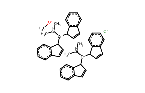 C[O-].C[SiH](C)[Zr+]([CH]1C=Cc2ccccc21)[CH]1C=Cc2ccccc21.C[SiH](C)[Zr+]([CH]1C=Cc2ccccc21)[CH]1C=Cc2ccccc21.[Cl-]